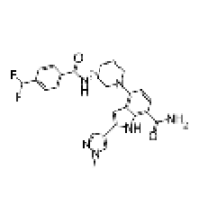 Cn1cc(-c2cc3c(N4CCC[C@@H](NC(=O)c5ccc(C(F)F)cc5)C4)ccc(C(N)=O)c3[nH]2)cn1